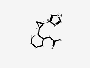 CC(=O)CC1CCCC[C@@H]1[C@H]1C[C@@H]1c1c[nH]cn1